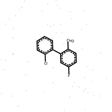 O=Cc1ccc(F)cc1-c1ccccc1Cl